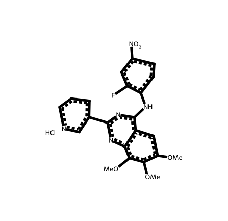 COc1cc2c(Nc3ccc([N+](=O)[O-])cc3F)nc(-c3cccnc3)nc2c(OC)c1OC.Cl